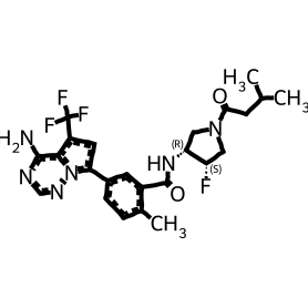 Cc1ccc(-c2cc(C(F)(F)F)c3c(N)ncnn23)cc1C(=O)N[C@@H]1CN(C(=O)CC(C)C)C[C@@H]1F